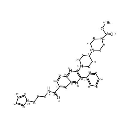 CC(C)(C)OC(=O)N1CCN(C2CCN(c3nc4ccc(C(=O)NCCCn5ccnc5)cc4nc3-c3ccccc3)CC2)CC1